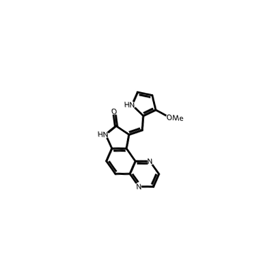 COc1cc[nH]c1C=C1C(=O)Nc2ccc3nccnc3c21